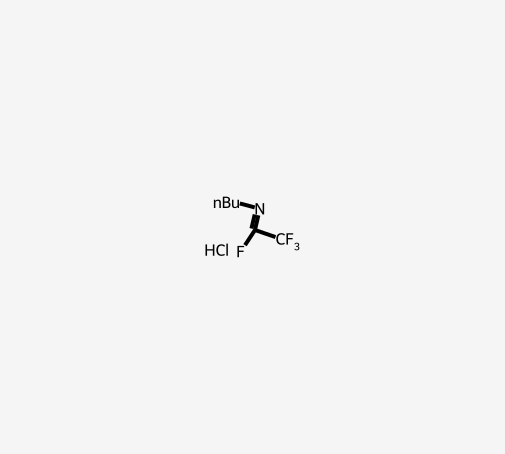 CCCCN=C(F)C(F)(F)F.Cl